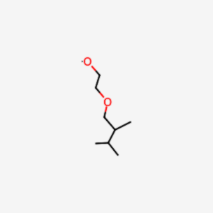 CC(C)C(C)COCC[O]